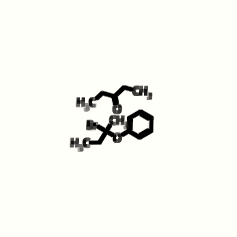 CCC(=O)CC.CCC(C)(Br)Oc1ccccc1